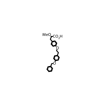 COC(Cc1ccc(OCCc2ccc(OCc3ccccc3)cc2)cc1)C(=O)O